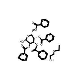 CCOCCO.O=C(OC[C@H]1O[C@@H](O)[C@H](OC(=O)c2ccccc2)[C@@H](OC(=O)c2ccccc2)[C@H]1OC(=O)c1ccccc1)c1ccccc1